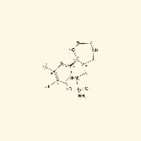 NS(=O)(=O)NC[C@H]1CNCCO[C@@H]1c1ccc(F)c(Cl)c1